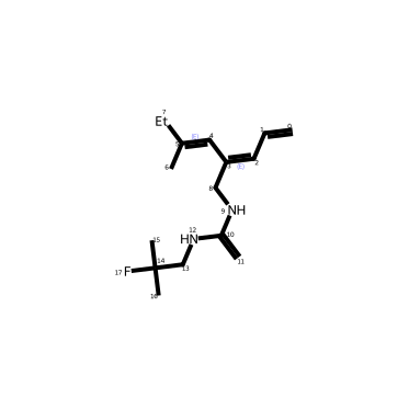 C=C/C=C(\C=C(/C)CC)CNC(=C)NCC(C)(C)F